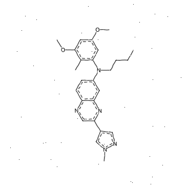 CCCCN(c1ccc2ncc(-c3cnn(C)c3)nc2c1)c1cc(OC)cc(OC)c1C